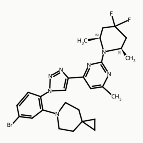 Cc1cc(-c2cn(-c3ccc(Br)cc3N3CCC4(CC3)CC4)nn2)nc(N2[C@H](C)CC(F)(F)C[C@@H]2C)n1